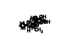 Cc1cc(NC(=O)c2ccccc2)ccc1O[C@H]1O[C@H](CO)[C@@H](O)[C@H](O)[C@]1(C)O